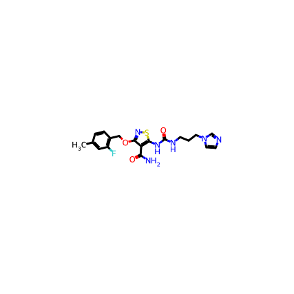 Cc1ccc(COc2nsc(NC(=O)NCCCn3ccnc3)c2C(N)=O)c(F)c1